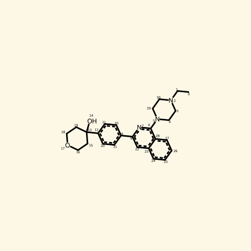 CCN1CCN(c2nc(-c3ccc(C4(O)CCOCC4)cc3)cc3ccccc23)CC1